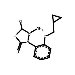 NN1C(Cl)OC(=O)N1c1ccccc1OCC1CC1